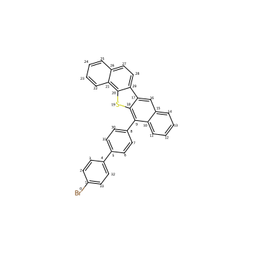 Brc1ccc(-c2ccc(-c3c4ccccc4cc4c3sc3c5ccccc5ccc43)cc2)cc1